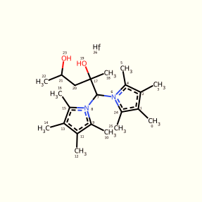 Cc1c(C)c(C)n(C(n2c(C)c(C)c(C)c2C)C(C)(O)CC(C)O)c1C.[Hf]